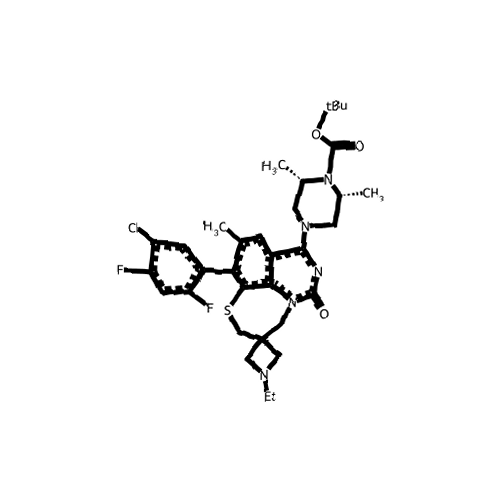 CCN1CC2(CSc3c(-c4cc(Cl)c(F)cc4F)c(C)cc4c(N5C[C@@H](C)N(C(=O)OC(C)(C)C)[C@@H](C)C5)nc(=O)n(c34)C2)C1